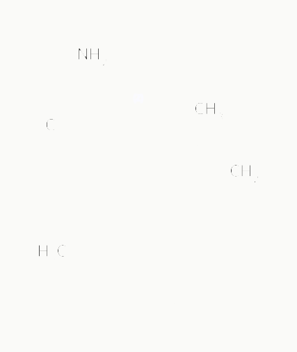 C=Cc1c(/C=C\C)c(C=C=CN)c(C)c2ccccc12